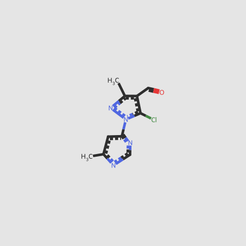 Cc1cc(-n2nc(C)c(C=O)c2Cl)ncn1